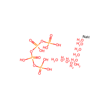 O.O.O.O.O.O.O.O.O.O.O=P(O)(O)OP(=O)(O)OP(=O)(O)OP(=O)(O)O.[NaH]